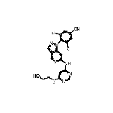 N#Cc1cc(Cl)c(-n2ncc3cnc(Nc4cc(NCCO)ncn4)cc32)c(Cl)c1